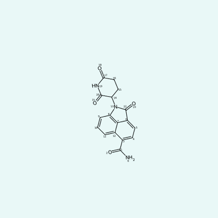 NC(=O)c1ccc2c3c(cccc13)N(C1CCC(=O)NC1=O)C2=O